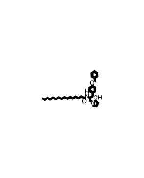 CCCCCCCCCCCCCCCC(=O)NC(CN1CCCC1)C(O)c1ccc(OCc2ccccc2)cc1